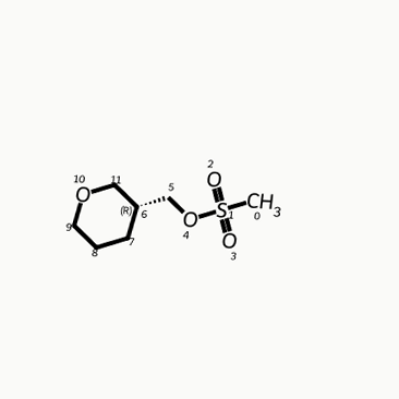 CS(=O)(=O)OC[C@@H]1CCCOC1